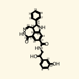 O=C(NCC(O)c1cccc(O)c1)c1cc2c3c(c1)C(=O)NN=CC3C(c1ccccc1)N2